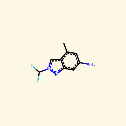 Cc1cc(N)cc2nn(C(F)F)cc12